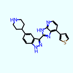 c1cc(-c2ccsc2)c2nc(-c3n[nH]c4ccc(C5CCNCC5)cc34)[nH]c2n1